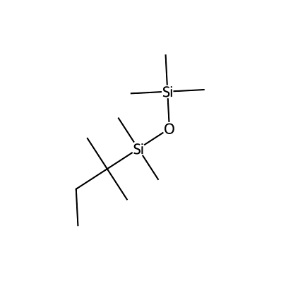 CCC(C)(C)[Si](C)(C)O[Si](C)(C)C